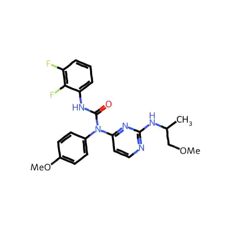 COCC(C)Nc1nccc(N(C(=O)Nc2cccc(F)c2F)c2ccc(OC)cc2)n1